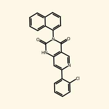 O=c1[nH]c2cc(-c3ccccc3Cl)ncc2c(=O)n1-c1cccc2ccccc12